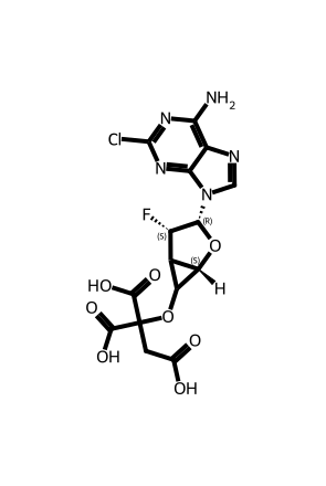 Nc1nc(Cl)nc2c1ncn2[C@@H]1O[C@@H]2C(OC(CC(=O)O)(C(=O)O)C(=O)O)C2[C@@H]1F